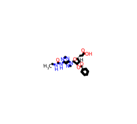 CCNC(=O)Nc1ncnc2c1ncn2[C@@H]1O[C@H](CCC(=O)O)[C@@H]2O[C@@H](c3ccccc3)OC21